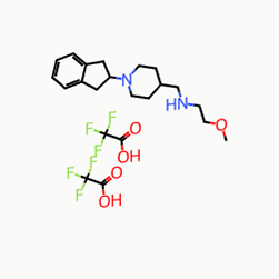 COCCNCC1CCN(C2Cc3ccccc3C2)CC1.O=C(O)C(F)(F)F.O=C(O)C(F)(F)F